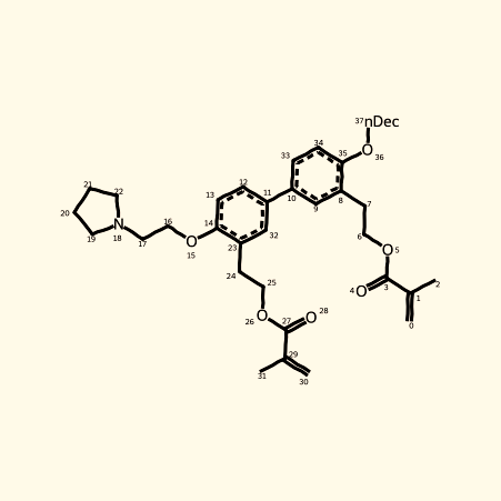 C=C(C)C(=O)OCCc1cc(-c2ccc(OCCN3CCCC3)c(CCOC(=O)C(=C)C)c2)ccc1OCCCCCCCCCC